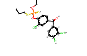 CCCSP(=S)(OCC)Oc1ccc(C(=O)c2ccc(Cl)c(Cl)c2)cc1Cl